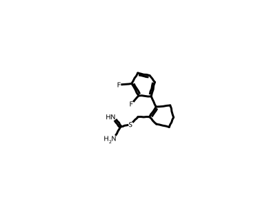 N=C(N)SCC1=C(c2cccc(F)c2F)CCCC1